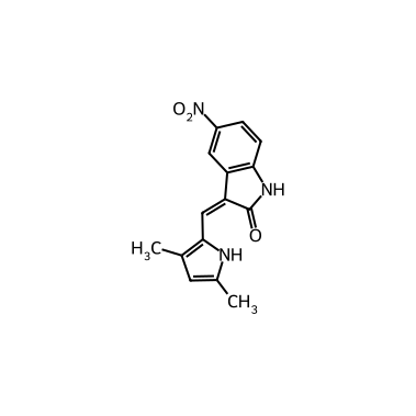 Cc1cc(C)c(/C=C2\C(=O)Nc3ccc([N+](=O)[O-])cc32)[nH]1